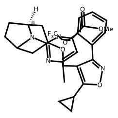 COC(=O)c1cc(C)nc(N2C3CC[C@H]2CC(OCc2c(-c4ccccc4OC(F)(F)F)noc2C2CC2)C3)n1